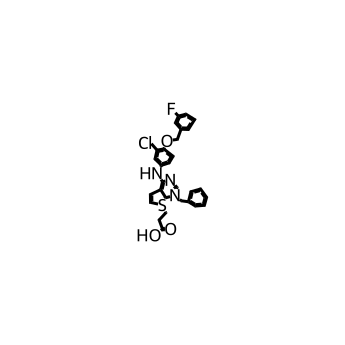 O=C(O)CCS1=C2C(=C(Nc3ccc(OCc4cccc(F)c4)c(Cl)c3)N=CN2Cc2ccccc2)C=C1